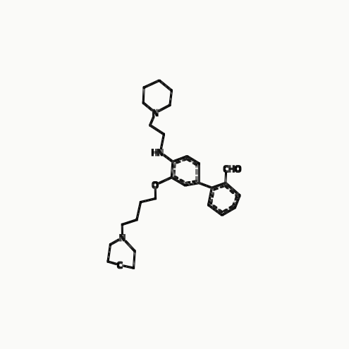 O=Cc1ccccc1-c1ccc(NCCN2CCCCC2)c(OCCCCN2CCCCC2)c1